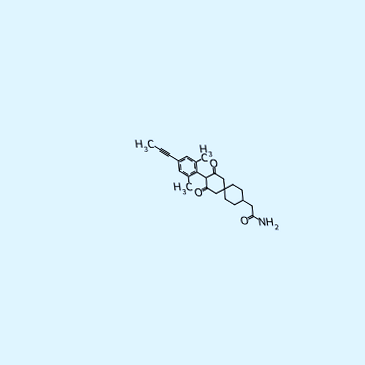 CC#Cc1cc(C)c(C2C(=O)CC3(CCC(CC(N)=O)CC3)CC2=O)c(C)c1